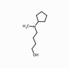 CN(CCCCO)C1CCCC1